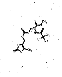 COC(=O)[C@H](CSC(=O)OCc1oc(=O)oc1C)NC(=O)C(C)(C)S